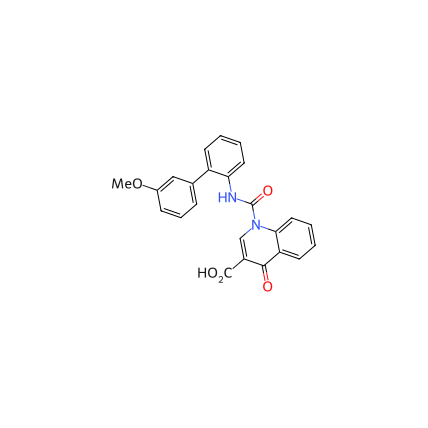 COc1cccc(-c2ccccc2NC(=O)n2cc(C(=O)O)c(=O)c3ccccc32)c1